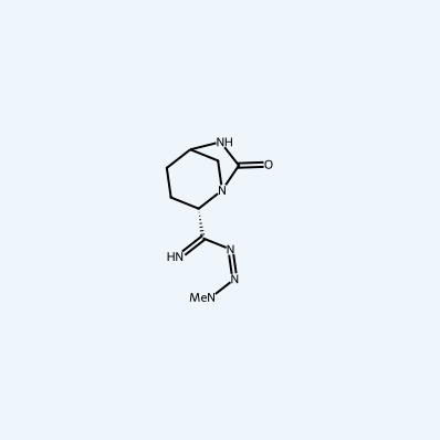 CN/N=N\C(=N)[C@@H]1CCC2CN1C(=O)N2